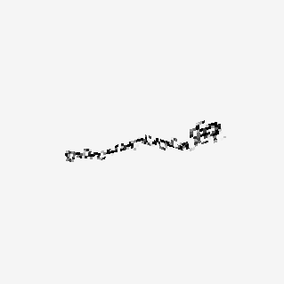 COCCOCCOCCOCCOCCOCCOCCOCCOC(=O)ON1C(=O)CCC1=O